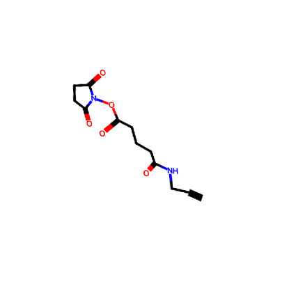 C#CCNC(=O)CCCC(=O)ON1C(=O)CCC1=O